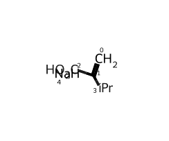 C=C(C(=O)O)C(C)C.[NaH]